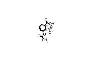 CC(=O)O[C@@H]1C=CC[C@@H](C(=O)O)[C@@H]1[N+](=O)[O-]